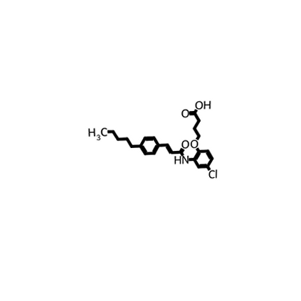 CCCCCc1ccc(C=CC(=O)Nc2cc(Cl)ccc2OCCCC(=O)O)cc1